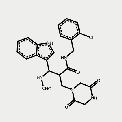 O=CNC(c1c[nH]c2ccccc12)C(CN1CC(=O)NCC1=O)C(=O)NCc1ccccc1Cl